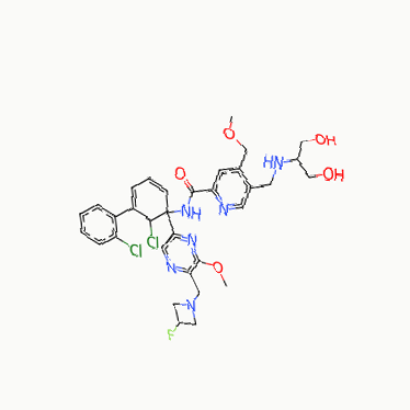 COCc1cc(C(=O)NC2(c3cnc(CN4CC(F)C4)c(OC)n3)C=CC=C(c3ccccc3Cl)C2Cl)ncc1CNC(CO)CO